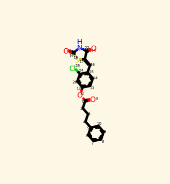 O=C(CCCc1ccccc1)Oc1ccc(/C=C2\SC(=O)NC2=O)c(Cl)c1